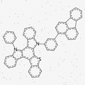 c1ccc(-n2c3ccccc3c3c4c5ccccc5sc4c4c(c5ccccc5n4-c4cccc(-c5ccc6c7c(cccc57)-c5ccccc5-6)c4)c32)cc1